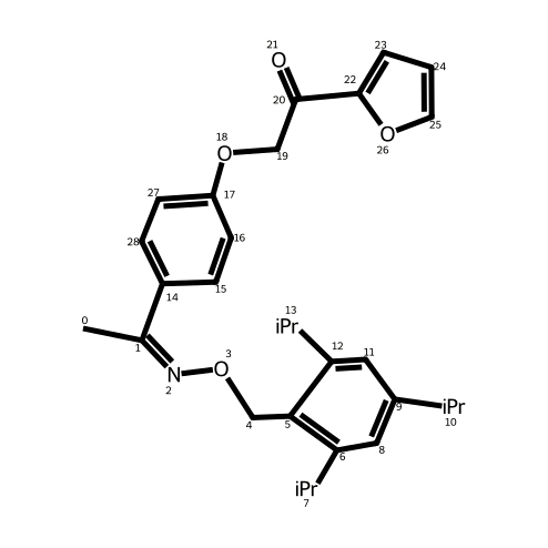 CC(=NOCc1c(C(C)C)cc(C(C)C)cc1C(C)C)c1ccc(OCC(=O)c2ccco2)cc1